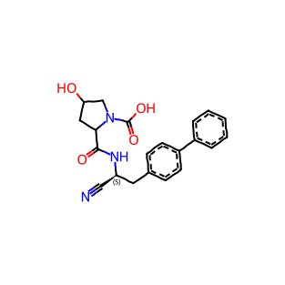 N#C[C@H](Cc1ccc(-c2ccccc2)cc1)NC(=O)C1CC(O)CN1C(=O)O